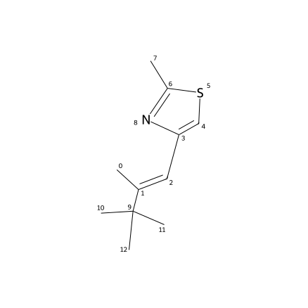 C/C(=C\c1csc(C)n1)C(C)(C)C